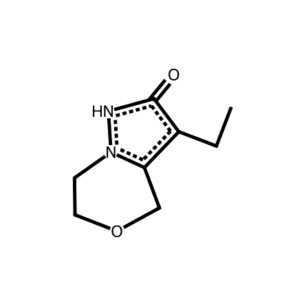 CCc1c2n([nH]c1=O)CCOC2